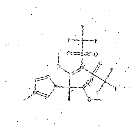 COC(=O)[C@@](C)(C(OC)=[N+](S(=O)(=O)C(F)(F)F)S(=O)(=O)C(F)(F)F)n1cc[n+](C)c1